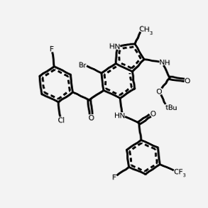 Cc1[nH]c2c(Br)c(C(=O)c3cc(F)ccc3Cl)c(NC(=O)c3cc(F)cc(C(F)(F)F)c3)cc2c1NC(=O)OC(C)(C)C